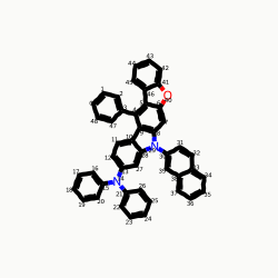 c1ccc(-c2c3c(cc4c2c2ccc(N(c5ccccc5)c5ccccc5)cc2n4-c2ccc4ccccc4c2)oc2ccccc23)cc1